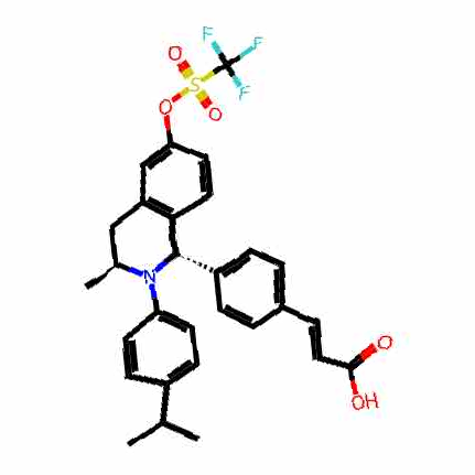 CC(C)c1ccc(N2[C@@H](c3ccc(C=CC(=O)O)cc3)c3ccc(OS(=O)(=O)C(F)(F)F)cc3C[C@@H]2C)cc1